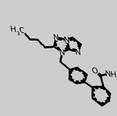 CCCCc1nn2ccnc2n1Cc1ccc(-c2ccccc2C(N)=O)cc1